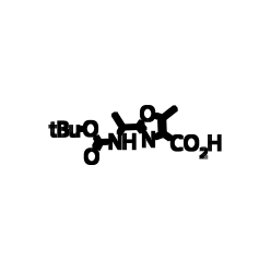 Cc1oc(C(C)NC(=O)OC(C)(C)C)nc1C(=O)O